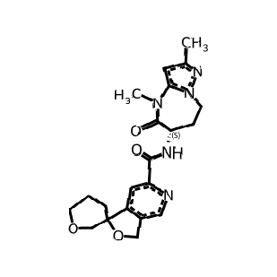 Cc1cc2n(n1)CC[C@H](NC(=O)c1cc3c(cn1)COC31CCCOC1)C(=O)N2C